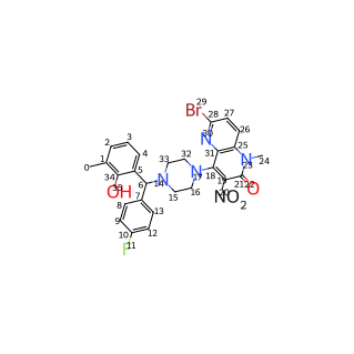 Cc1cccc(C(c2ccc(F)cc2)N2CCN(c3c([N+](=O)[O-])c(=O)n(C)c4ccc(Br)nc34)CC2)c1O